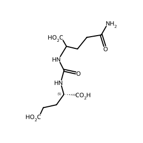 NC(=O)CCC(NC(=O)N[C@@H](CCC(=O)O)C(=O)O)C(=O)O